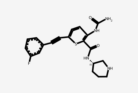 NC(=O)NC1=C(C(=O)N[C@H]2CCCNC2)SC(C#Cc2cccc(F)c2)=C=C1